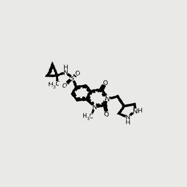 Cn1c(=O)n(CC2CNNC2)c(=O)c2cc(S(=O)(=O)NC3(C)CC3)ccc21